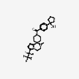 CN1CCn2c(ccc2C(F)(F)C(F)(F)F)C12CCN(C(=O)c1ccc(C3(O)CCCC3)cc1)CC2